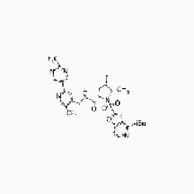 CCC(C)c1nccc2oc(S(=O)(=O)N3[C@H](C(=O)NCc4cc(-c5cnc(C(F)(F)F)nc5)ncc4C(F)(F)F)C[C@@H](F)[C@@H]3C)cc12